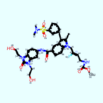 Cc1c(-c2cccc(S(=O)(=O)N(C)C)c2)c2cc(C(=O)Nc3ccc4c(c3)n(CCO)c(=O)n4CCO)ccc2n1C/C(F)=C/CNC(=O)OC(C)(C)C